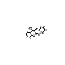 OC1c2ccccc2Oc2cc3ccccc3cc21